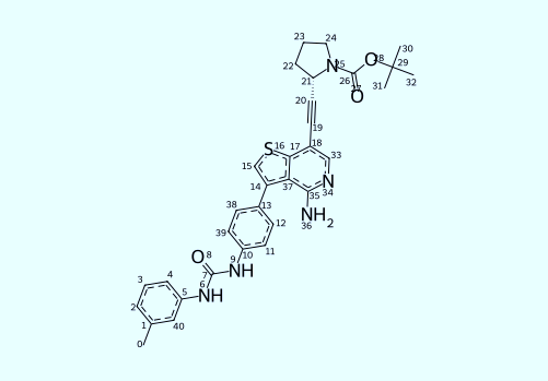 Cc1cccc(NC(=O)Nc2ccc(-c3csc4c(C#C[C@@H]5CCCN5C(=O)OC(C)(C)C)cnc(N)c34)cc2)c1